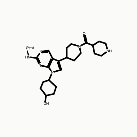 CCC[C@H](C)Nc1ncc2c(C3CCN(C(=O)C4CCNCC4)CC3)cn(C3CCC(O)CC3)c2n1